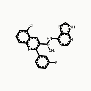 C[C@@H](Nc1ncnc2[nH]cnc12)c1cc2c(Cl)cccc2nc1-c1cccc(F)c1